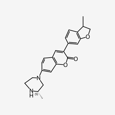 CC1COc2cc(-c3cc4ccc(N5CCN[C@@H](C)C5)cc4oc3=O)ccc21